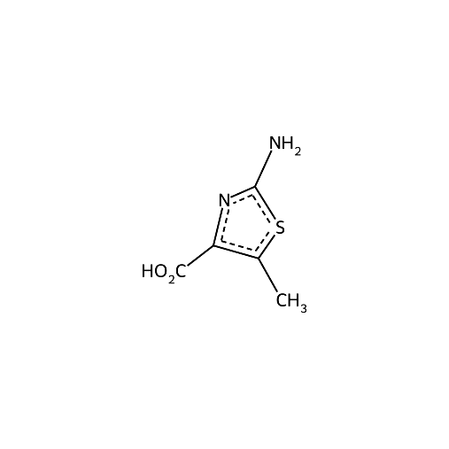 Cc1sc(N)nc1C(=O)O